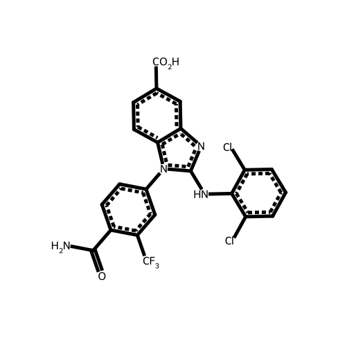 NC(=O)c1ccc(-n2c(Nc3c(Cl)cccc3Cl)nc3cc(C(=O)O)ccc32)cc1C(F)(F)F